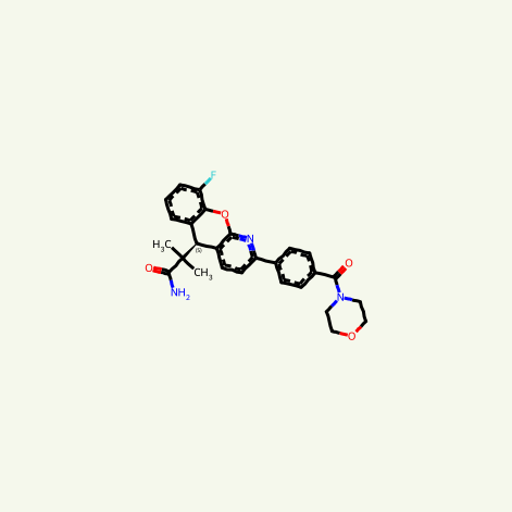 CC(C)(C(N)=O)[C@@H]1c2ccc(-c3ccc(C(=O)N4CCOCC4)cc3)nc2Oc2c(F)cccc21